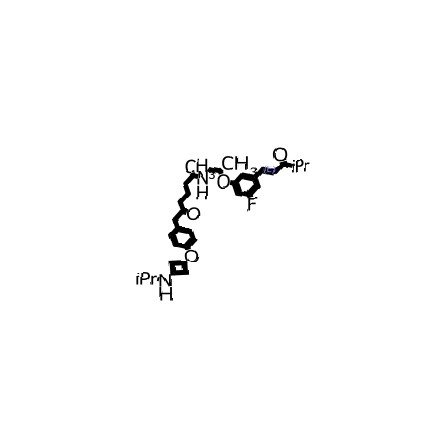 CC(CCCC(=O)Cc1ccc(O[C@H]2C[C@@H](NC(C)C)C2)cc1)NCC(C)Oc1cc(F)cc(/C=C/C(=O)C(C)C)c1